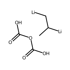 O=C(O)OC(=O)O.[Li][CH2][CH]([Li])C